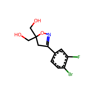 OCC1(CO)CC(c2ccc(Br)c(F)c2)=NO1